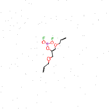 C=CCOCC(COCC=C)OP(OF)OF